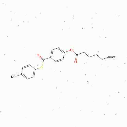 CCCCCCCCCCCCCCC(=O)Oc1ccc(C(=O)Sc2ccc(C#N)cc2)cc1